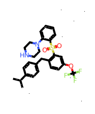 CC(C)c1ccc(Cc2ccc(OC(F)(F)F)cc2S(=O)(=O)c2ccccc2N2CCNCC2)cc1